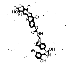 CCc1c2c(nc3ccc(OC(=O)NCCn4ccc5cc(-n6c(O)nnc6-c6cc(C(C)C)ccc6O)ccc54)cc13)-c1cc3c(c(=O)n1C2)COC(=O)C3(O)CC